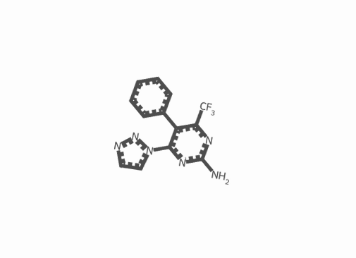 Nc1nc(-n2ccnn2)c(-c2ccccc2)c(C(F)(F)F)n1